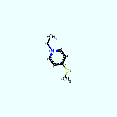 CC[n+]1ccc(SC)cc1